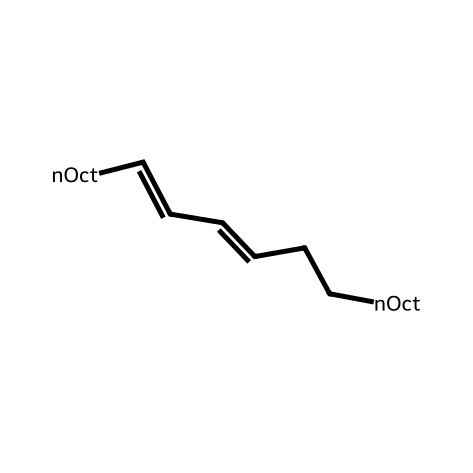 CCCCCCCCC=CC=CCCCCCCCCCC